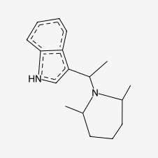 CC1CCCC(C)N1C(C)c1c[nH]c2ccccc12